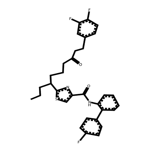 CCCC(CCCC(=O)CCc1ccc(F)c(F)c1)c1nc(C(=O)Nc2ccccc2-c2ccc(F)cc2)cs1